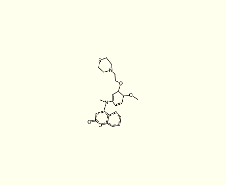 COC1C=CC(N(C)c2cc(=O)oc3ccccc23)=CC1OCCN1CCSCC1